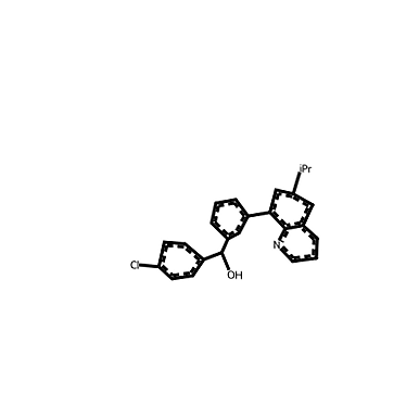 CC(C)c1cc(-c2cccc(C(O)c3ccc(Cl)cc3)c2)c2ncccc2c1